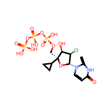 C=C1NC(=O)C=CN1[C@@H]1O[C@@](COP(=O)(O)OP(=O)(O)OP(=O)(O)O)(C2CC2)[C@@H](O)[C@H]1Cl